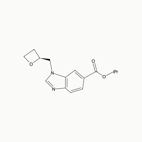 CC(C)OC(=O)c1ccc2ncn(C[C@@H]3CCO3)c2c1